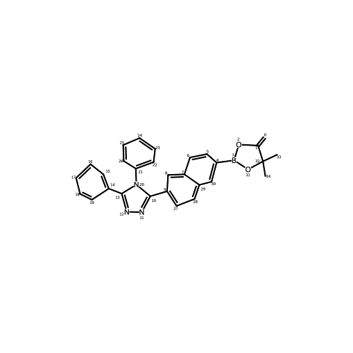 C=C1OB(c2ccc3cc(-c4nnc(-c5ccccc5)n4-c4ccccc4)ccc3c2)OC1(C)C